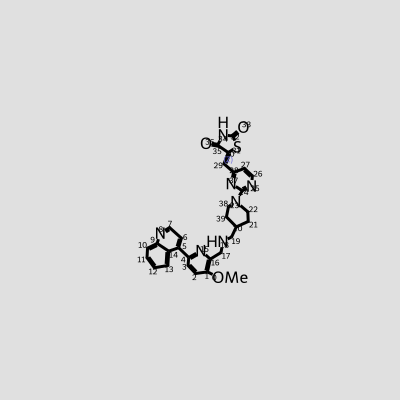 COc1ccc(-c2ccnc3ccccc23)nc1CNCC1CCN(c2nccc(/C=C3\SC(=O)NC3=O)n2)CC1